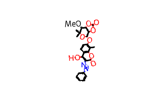 COC1C2OC(=O)OC2C(Oc2ccc3c(O)c(/N=N/c4ccccc4)c(=O)oc3c2C)OC1(C)C